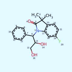 CC1(C)C(=O)N(C(c2ccccc2)C(O)CO)c2cc(F)ccc21